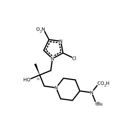 CC(C)(C)N(C(=O)O)C1CCN(C[C@](C)(O)Cn2cc([N+](=O)[O-])nc2Cl)CC1